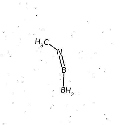 BB=NC